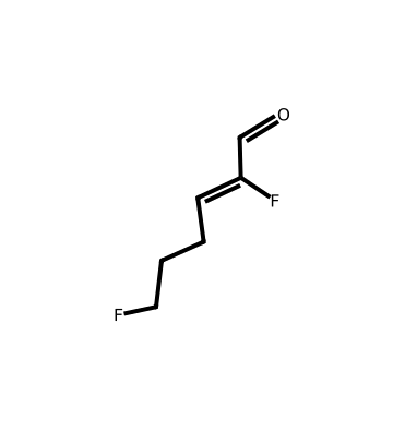 O=CC(F)=CCCCF